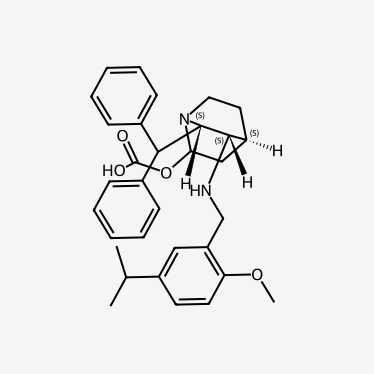 COc1ccc(C(C)C)cc1CN[C@H]1[C@H]2CCN(C(OC(=O)O)C2)[C@H]1C(c1ccccc1)c1ccccc1